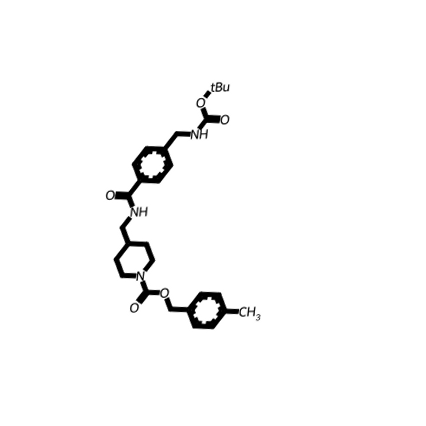 Cc1ccc(COC(=O)N2CCC(CNC(=O)c3ccc(CNC(=O)OC(C)(C)C)cc3)CC2)cc1